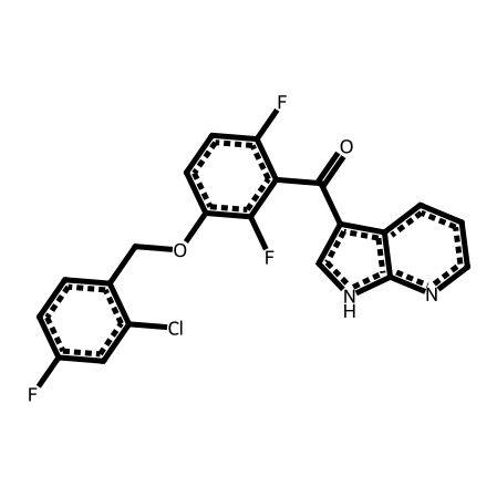 O=C(c1c(F)ccc(OCc2ccc(F)cc2Cl)c1F)c1c[nH]c2ncccc12